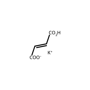 O=C([O-])C=CC(=O)O.[K+]